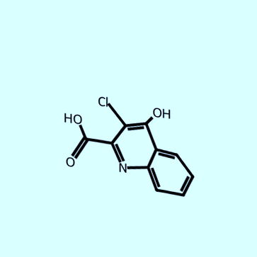 O=C(O)c1nc2ccccc2c(O)c1Cl